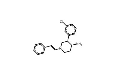 N[C@H]1CCN(C=Cc2ccccc2)C[C@H]1c1cccc(Cl)c1